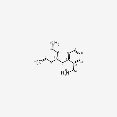 C=CCN(CC=C)Cc1ccccc1CN